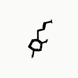 Fc1ccc(CC=CI)c(F)c1